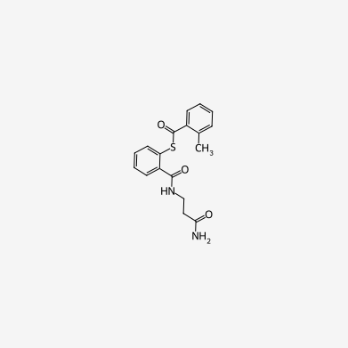 Cc1ccccc1C(=O)Sc1ccccc1C(=O)NCCC(N)=O